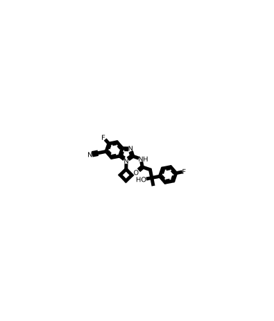 CC(O)(CC(=O)Nc1nc2cc(F)c(C#N)cc2n1C1CCC1)c1ccc(F)cc1